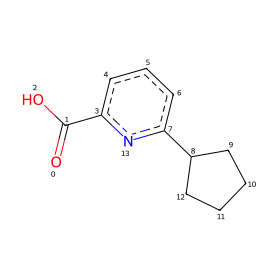 O=C(O)c1cccc(C2CCCC2)n1